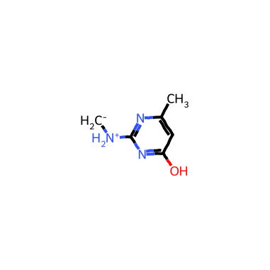 [CH2-][NH2+]c1nc(C)cc(O)n1